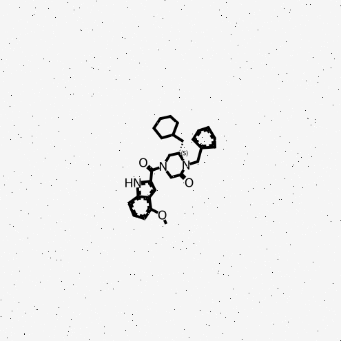 COc1cccc2[nH]c(C(=O)N3CC(=O)N(Cc4ccccc4)[C@@H](CC4CCCCC4)C3)cc12